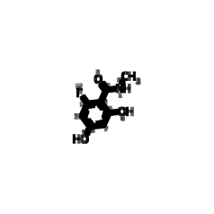 CNC(=O)c1c(O)cc(O)cc1F